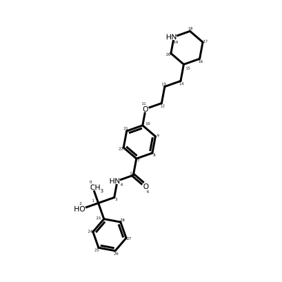 CC(O)(CNC(=O)c1ccc(OCCCC2CCCNC2)cc1)c1ccccc1